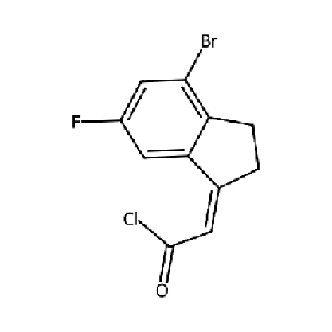 O=C(Cl)/C=C1/CCc2c(Br)cc(F)cc21